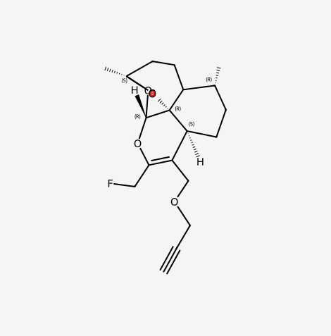 C#CCOCC1=C(CF)O[C@@H]2O[C@]3(C)CCC4[C@H](C)CC[C@@H]1[C@]42OO3